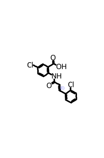 O=C(/C=C/c1ccccc1Cl)Nc1ccc(Cl)cc1C(=O)O